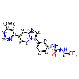 COc1cc(-c2ccn3c(-c4cccc(NC(=O)NCC(F)(F)F)c4)cnc3c2)ncn1